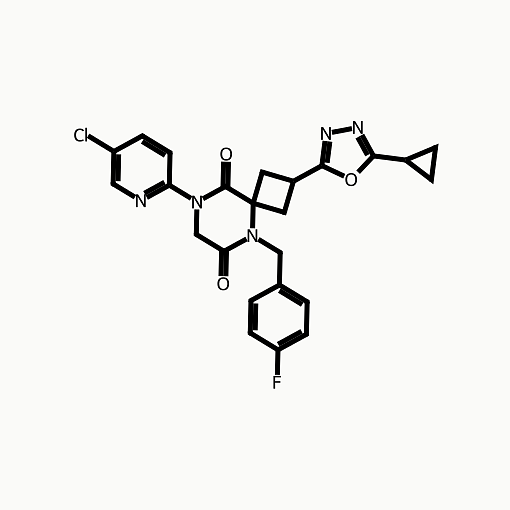 O=C1CN(c2ccc(Cl)cn2)C(=O)C2(CC(c3nnc(C4CC4)o3)C2)N1Cc1ccc(F)cc1